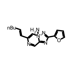 CCCCC=CC1=C[N+]2(N)N=C(c3ccco3)N=C2C=N1